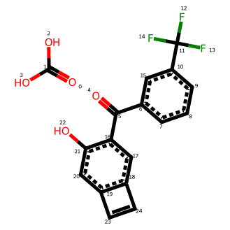 O=C(O)O.O=C(c1cccc(C(F)(F)F)c1)c1cc2c(cc1O)C=C2